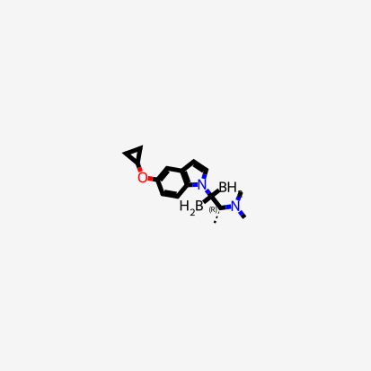 BC(B)([C@@H](C)N(C)C)n1ccc2cc(OC3CC3)ccc21